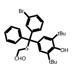 CC(C)(C)c1cc(C(SC[13CH]=O)(c2ccccc2)c2cccc(Br)c2)cc(C(C)(C)C)c1O